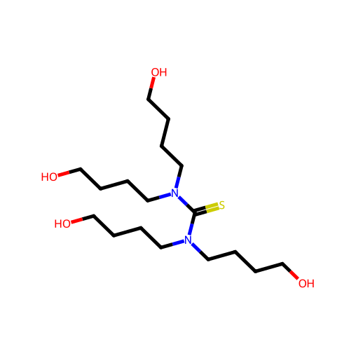 OCCCCN(CCCCO)C(=S)N(CCCCO)CCCCO